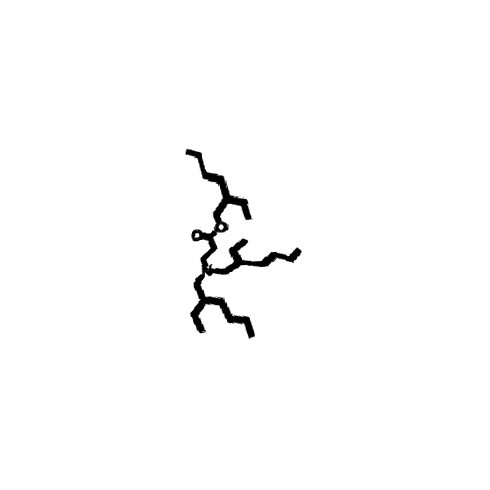 CCCCC(CC)COC(=O)CCN(CC(CC)CCCC)CC(CC)CCCC